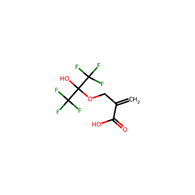 C=C(COC(O)(C(F)(F)F)C(F)(F)F)C(=O)O